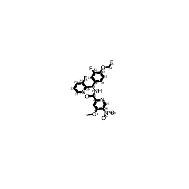 COc1cc(C(=O)N[C@@H](c2ccc(OCF)c(F)c2)c2ncccc2F)ncc1[N+](=O)[O-]